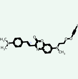 CN(C)c1ccc(/C=C/c2nc3ccc(N(C)CCOOC#CI)cc3oc2=O)cc1